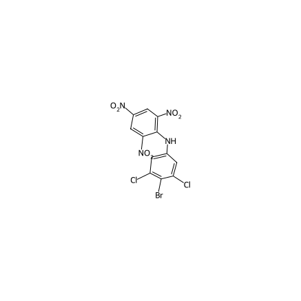 O=[N+]([O-])c1cc([N+](=O)[O-])c(Nc2cc(Cl)c(Br)c(Cl)c2)c([N+](=O)[O-])c1